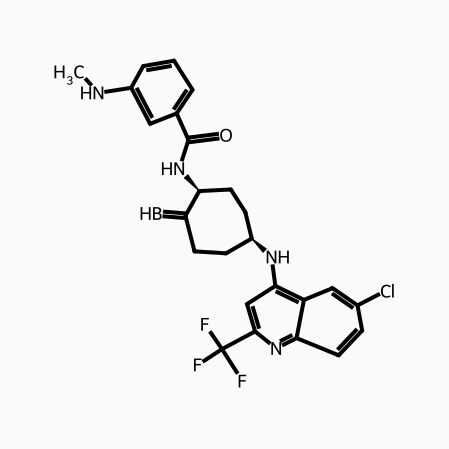 B=C1CC[C@H](Nc2cc(C(F)(F)F)nc3ccc(Cl)cc23)CC[C@@H]1NC(=O)c1cccc(NC)c1